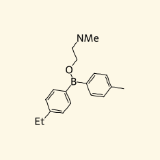 CCc1ccc(B(OCCNC)c2ccc(C)cc2)cc1